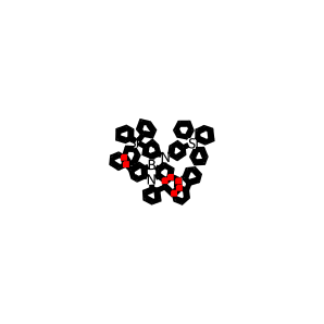 c1ccc(-c2ccc3c(c2)B2c4cc([Si](c5ccccc5)(c5ccccc5)c5ccccc5)ccc4N(c4ccc([Si](c5ccccc5)(c5ccccc5)c5ccccc5)cc4)c4cc(-n5c6ccccc6c6ccccc65)cc(c42)N3c2ccccc2-c2ccccc2)cc1